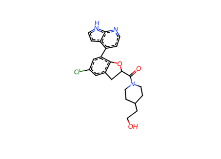 O=C(C1Cc2cc(Cl)cc(-c3ccnc4[nH]ccc34)c2O1)N1CCC(CCO)CC1